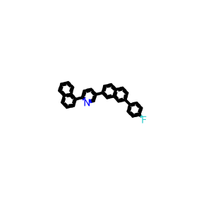 Fc1ccc(-c2ccc3ccc(-c4ccc(-c5cccc6ccccc56)nc4)cc3c2)cc1